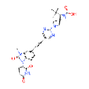 Cn1c(=O)n(C2CCC(=O)NC2=O)c2ccc(C#Cc3cnc(N4CC5(C4)CN(C(=O)O)C5C(C)(C)C)nc3)cc21